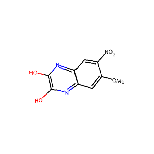 COc1cc2nc(O)c(O)nc2cc1[N+](=O)[O-]